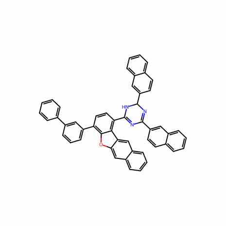 c1ccc(-c2cccc(-c3ccc(C4=NC(c5ccc6ccccc6c5)=NC(c5ccc6ccccc6c5)N4)c4c3oc3cc5ccccc5cc34)c2)cc1